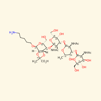 CC(=O)N[C@@H]1[C@H](O[C@@H]2[C@H](O)[C@H](C)O[C@@H](O[C@H]3[C@@H](O)[C@@H](CO)O[C@H](O[C@@H]4[C@@H]5O[C@](C)(C(=O)O)O[C@H]5[C@@H](OCCCCCN)O[C@@H]4CO)[C@@H]3NC(C)=O)[C@H]2NC(C)=O)O[C@H](CO)[C@@H](O)[C@@H]1O